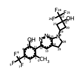 Cc1cc(C(F)(F)F)cc(O)c1-c1cc2c(nn1)N(C1CC(O)(C(F)(F)F)C1)CC2